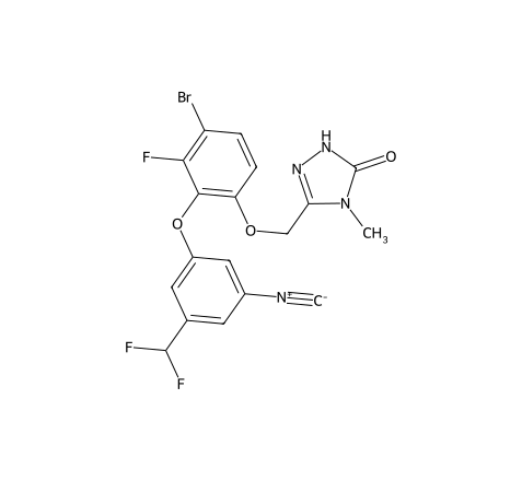 [C-]#[N+]c1cc(Oc2c(OCc3n[nH]c(=O)n3C)ccc(Br)c2F)cc(C(F)F)c1